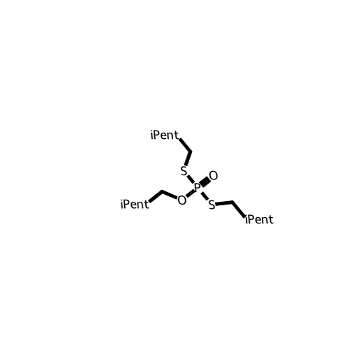 CCCC(C)COP(=O)(SCC(C)CCC)SCC(C)CCC